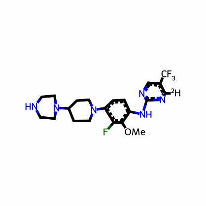 [2H]c1nc(Nc2ccc(N3CCC(N4CCNCC4)CC3)c(F)c2OC)ncc1C(F)(F)F